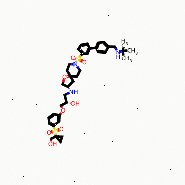 CC(C)(C)NCc1ccc(-c2cccc(S(=O)(=O)N3CCC4(CC3)C[C@H](NC[C@H](O)COc3cccc(S(=O)(=O)C5(CO)CC5)c3)CO4)c2)cc1